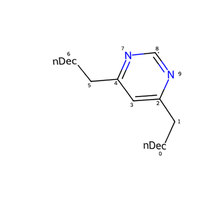 CCCCCCCCCCCc1cc(CCCCCCCCCCC)n[c]n1